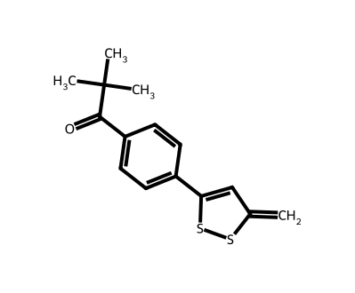 C=C1C=C(c2ccc(C(=O)C(C)(C)C)cc2)SS1